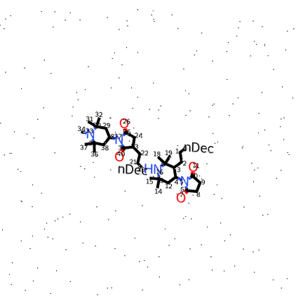 CCCCCCCCCCCCC1C(N2C(=O)CCC2=O)CC(C)(C)NC1(C)C.CCCCCCCCCCCCC1CC(=O)N(C2CC(C)(C)N(C)C(C)(C)C2)C1=O